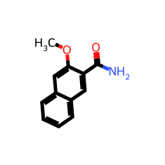 COc1cc2ccccc2cc1C(N)=O